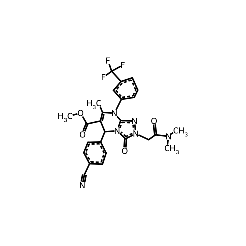 COC(=O)C1=C(C)N(c2cccc(C(F)(F)F)c2)c2nn(CC(=O)N(C)C)c(=O)n2C1c1ccc(C#N)cc1